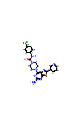 Nc1nc(N2CCN(C(=O)Nc3ccc(Cl)cc3)CC2)c2nc(-c3cccnc3)sc2n1